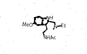 CCN(C)Cc1[nH]c2ccc(OC)cc2c1CCNC(C)=O